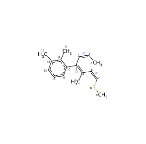 C\C=C/C(=C(C)\C=C/SC)c1cccc(C)c1C